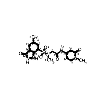 Cc1cc(S(=O)(=O)N(C)CC(=O)Nc2ccn(C)c(=O)c2)c2[nH][nH]c(=O)c2c1